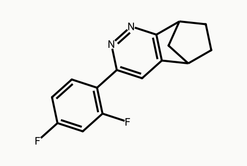 Fc1ccc(-c2cc3c(nn2)C2CCC3C2)c(F)c1